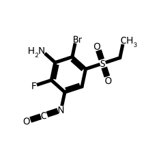 CCS(=O)(=O)c1cc(N=C=O)c(F)c(N)c1Br